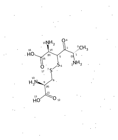 C[C@H](N)C(=O)C(SSC[C@H](N)C(=O)O)[C@H](N)C(=O)O